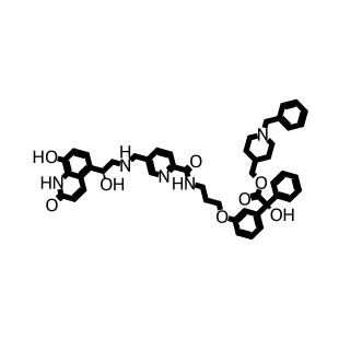 O=C(NCCCOc1cccc([C@](O)(C(=O)OCC2CCN(Cc3ccccc3)CC2)c2ccccc2)c1)c1ccc(CNC[C@H](O)c2ccc(O)c3[nH]c(=O)ccc23)cn1